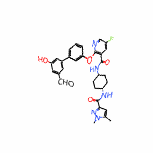 Cc1cc(C(=O)N[C@H]2CC[C@H](NC(=O)c3cc(F)cnc3Oc3cccc(-c4cc(O)cc(C=O)c4)c3)CC2)nn1C